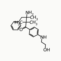 CC(N)(Cc1ccccc1)C(C)(C)C(=O)c1ccc(NCCO)cc1